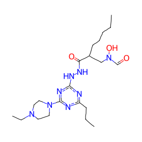 CCCCCC(CN(O)C=O)C(=O)NNc1nc(CCC)nc(N2CCN(CC)CC2)n1